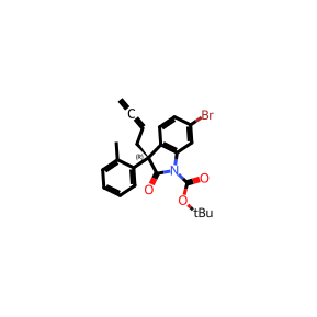 C=C=CC[C@]1(c2ccccc2C)C(=O)N(C(=O)OC(C)(C)C)c2cc(Br)ccc21